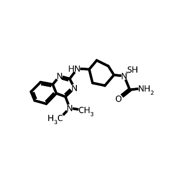 CN(C)c1nc(NC2CCC(N(S)C(N)=O)CC2)nc2ccccc12